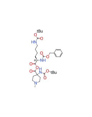 CN1CCC(NC(=O)OC(C)(C)C)(C(=O)OC(=O)[C@@H](CCCCNC(=O)OC(C)(C)C)NC(=O)OCc2ccccc2)CC1